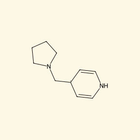 C1=C[C](CN2CCCC2)C=CN1